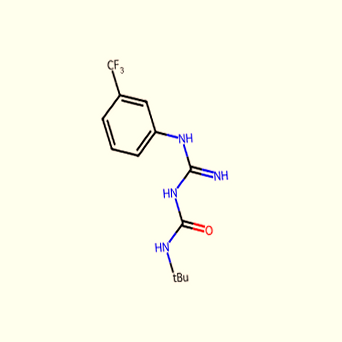 CC(C)(C)NC(=O)NC(=N)Nc1cccc(C(F)(F)F)c1